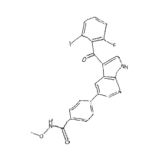 CONC(=O)c1ccc(-c2cnc3[nH]cc(C(=O)c4c(F)cccc4F)c3c2)cc1